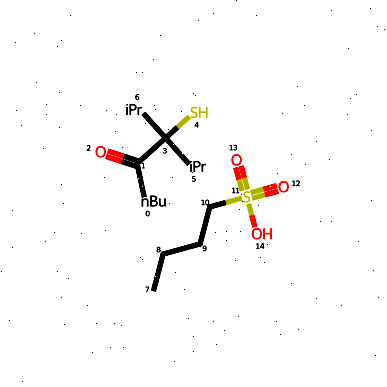 CCCCC(=O)C(S)(C(C)C)C(C)C.CCCCS(=O)(=O)O